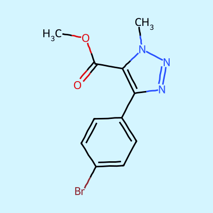 COC(=O)c1c(-c2ccc(Br)cc2)nnn1C